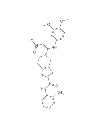 COc1ccc(N/C(=C/[N+](=O)[O-])N2CCc3nc(C(=O)Nc4ccccc4N)sc3C2)cc1OC